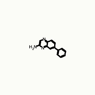 Nc1cnc2ccc(-c3ccccc3)cc2n1